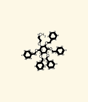 C=CCO[C@H]1C(OCc2ccccc2)C(OCc2ccccc2)[C@@H](OCc2ccccc2)C(OCc2ccccc2)C1OCc1ccccc1